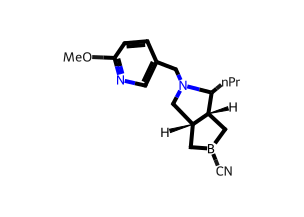 CCCC1[C@@H]2CB(C#N)C[C@@H]2CN1Cc1ccc(OC)nc1